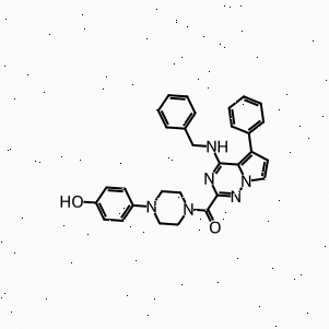 O=C(c1nc(NCc2ccccc2)c2c(-c3ccccc3)ccn2n1)N1CCN(c2ccc(O)cc2)CC1